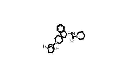 O=C(N[C@H]1CC2(CCN(C3C[C@@H]4CC[C@@H]3C4)CC2)c2ccccc21)N1CCCCC1